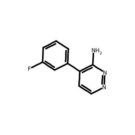 Nc1nnccc1-c1cccc(F)c1